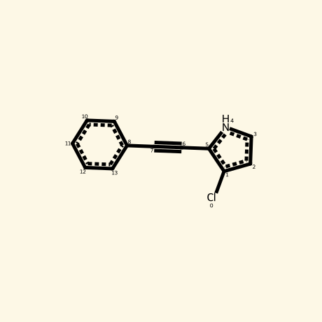 Clc1cc[nH]c1C#Cc1ccccc1